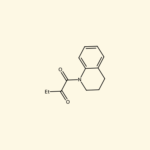 CCC(=O)C(=O)N1CCCc2ccccc21